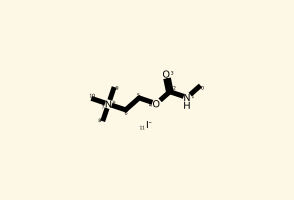 CNC(=O)OCC[N+](C)(C)C.[I-]